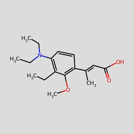 CCc1c(N(CC)CC)ccc(C(C)=CC(=O)O)c1OC